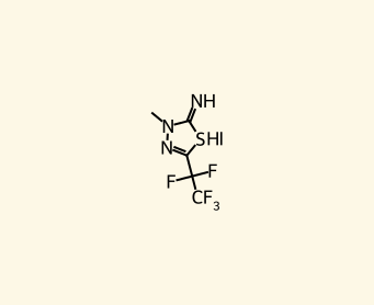 Cn1nc(C(F)(F)C(F)(F)F)sc1=N.I